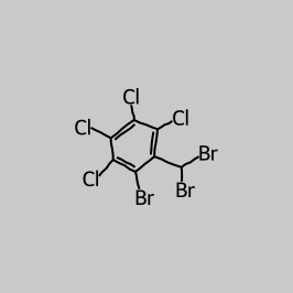 Clc1c(Cl)c(Cl)c(C(Br)Br)c(Br)c1Cl